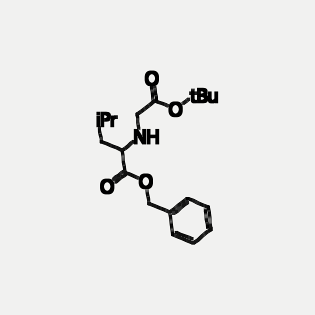 CC(C)CC(NCC(=O)OC(C)(C)C)C(=O)OCc1ccccc1